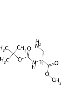 COC(=O)[C@@H](CN)NC(=O)OC(C)(C)C